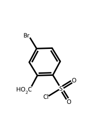 O=C(O)c1cc(Br)ccc1S(=O)(=O)Cl